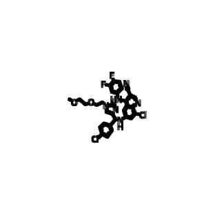 COCCOCCn1cc([C@@H](Nc2cc(Cl)c3ncc(C#N)c(Nc4ccc(F)c(F)c4)c3c2)c2ccc(Cl)cc2)nn1